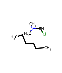 CCCCCC.CN(C)BCl